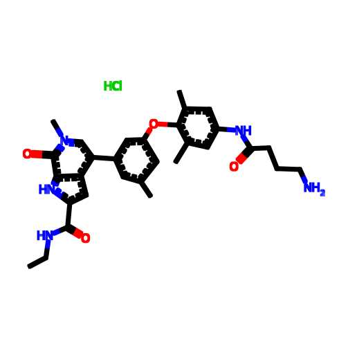 CCNC(=O)c1cc2c(-c3cc(C)cc(Oc4c(C)cc(NC(=O)CCCN)cc4C)c3)cn(C)c(=O)c2[nH]1.Cl